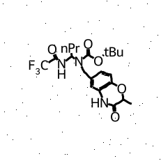 CCCC(NC(=O)C(F)(F)F)N(Cc1ccc2c(c1)NC(=O)C(C)O2)C(=O)OC(C)(C)C